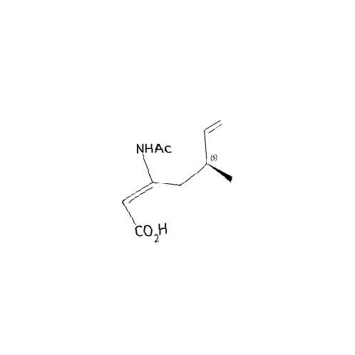 C=C[C@@H](C)CC(=CC(=O)O)NC(C)=O